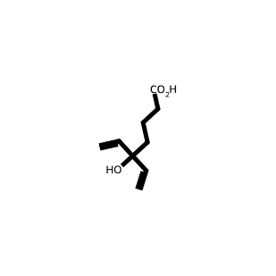 C=CC(O)(C=C)CCCC(=O)O